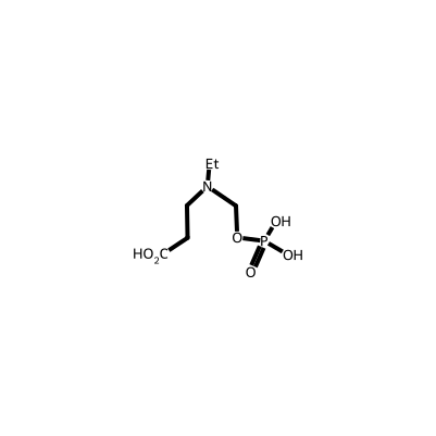 CCN(CCC(=O)O)COP(=O)(O)O